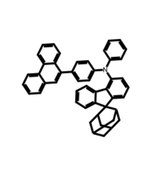 c1ccc(N(c2ccc(-c3cc4ccccc4c4ccccc34)cc2)c2cccc3c2-c2ccccc2C32C3CC4CC(C3)CC2C4)cc1